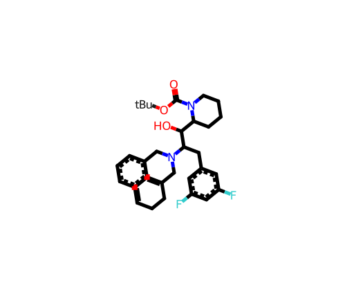 CC(C)(C)OC(=O)N1CCCCC1C(O)C(Cc1cc(F)cc(F)c1)N(CC1=CC=CCC1)Cc1ccccc1